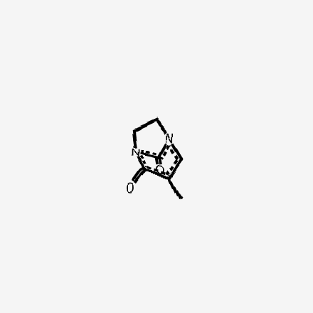 Cc1cn2c(=O)n(c1=O)CC2